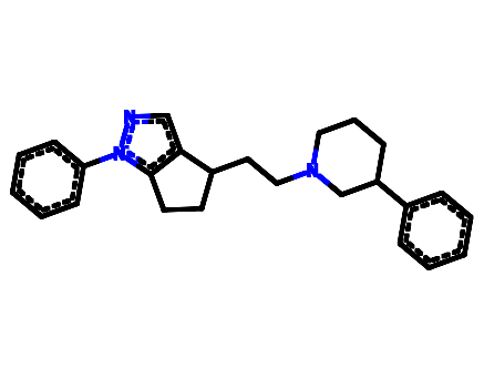 c1ccc(C2CCCN(CCC3CCc4c3cnn4-c3ccccc3)C2)cc1